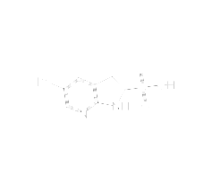 O=S(=O)(O)C1Cc2cc(Br)cnc2N1